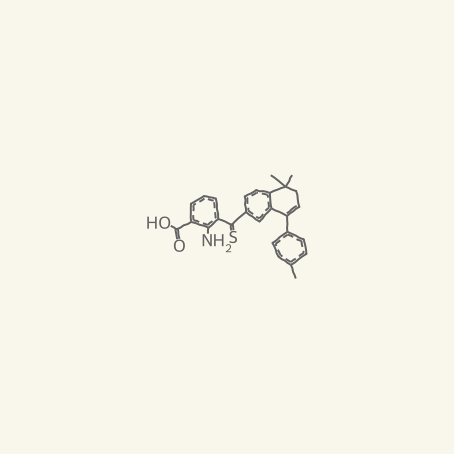 Cc1ccc(C2=CCC(C)(C)c3ccc(C(=S)c4cccc(C(=O)O)c4N)cc32)cc1